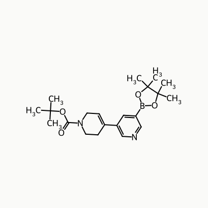 CC(C)(C)OC(=O)N1CC=C(c2cncc(B3OC(C)(C)C(C)(C)O3)c2)CC1